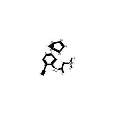 C#Cc1ccccc1OC(C)CN(C)C.c1cc2cc-2c1